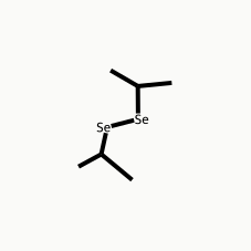 CC(C)[Se][Se]C(C)C